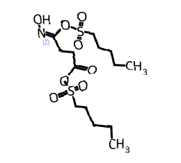 CCCCCS(=O)(=O)OC(=O)CC/C(=N/O)OS(=O)(=O)CCCCC